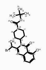 CC(Br)c1nc2cccc(Cl)c2c(=O)n1C1CCN(C(=O)OC(C)(C)C)CC1